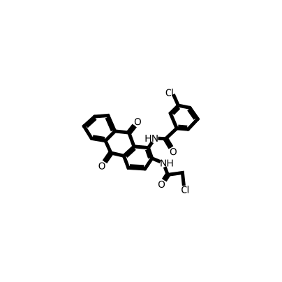 O=C(CCl)Nc1ccc2c(c1NC(=O)c1cccc(Cl)c1)C(=O)c1ccccc1C2=O